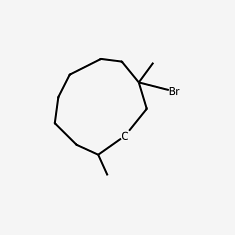 CC1CCCCCCC(C)(Br)CC1